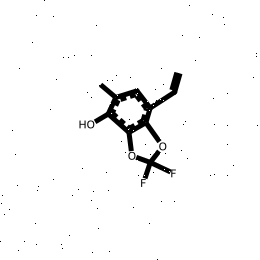 C=Cc1cc(C)c(O)c2c1OC(F)(F)O2